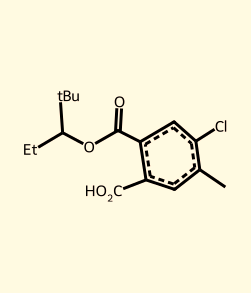 CCC(OC(=O)c1cc(Cl)c(C)cc1C(=O)O)C(C)(C)C